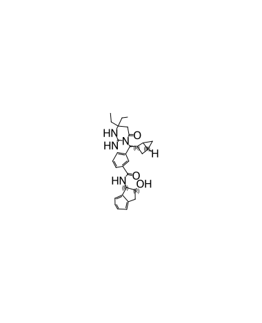 CCC1(CC)CC(=O)N(C(c2cccc(C(=O)N[C@@H]3c4ccccc4C[C@H]3O)c2)[C@@H]2C[C@H]3CC32)C(=N)N1